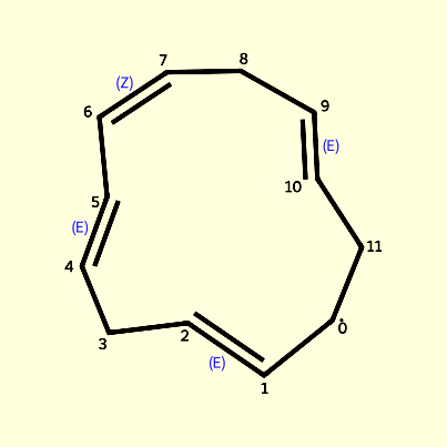 [CH]1/C=C/C/C=C/C=C\C/C=C/C1